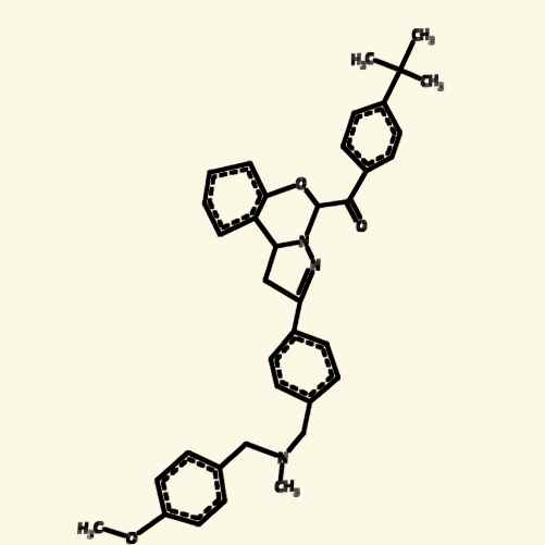 COc1ccc(CN(C)Cc2ccc(C3=NN4C(C(=O)c5ccc(C(C)(C)C)cc5)Oc5ccccc5C4C3)cc2)cc1